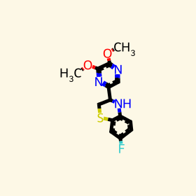 COc1ncc(C2CSc3cc(F)ccc3N2)nc1OC